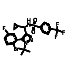 CC(C)(C)n1ncc([C@H](NS(=O)(=O)c2ccc(C(F)(F)F)cc2)C2CC2)c1-c1cc(F)ccc1Br